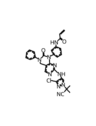 C=CC(=O)Nc1cccc(N2C(=O)N(c3ccccc3)Cc3cnc(Nc4cn(C(C)(C)C#N)nc4Cl)nc32)c1